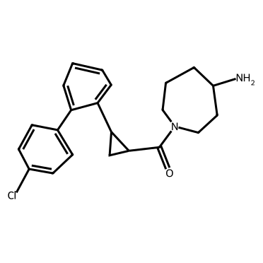 NC1CCCN(C(=O)C2CC2c2ccccc2-c2ccc(Cl)cc2)CC1